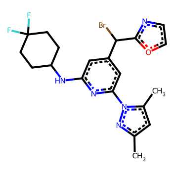 Cc1cc(C)n(-c2cc(C(Br)c3ncco3)cc(NC3CCC(F)(F)CC3)n2)n1